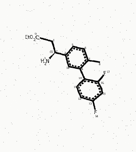 CCOC(=O)C[C@H](N)c1ccc(C)c(-c2ccc(F)cc2F)c1